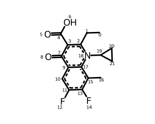 CCc1c(C(=O)O)c(=O)c2cc(F)c(F)c(C)c2n1C1CC1